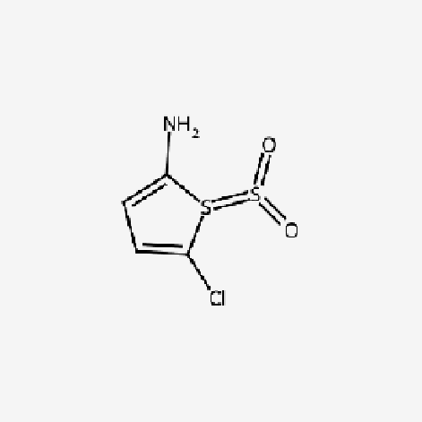 NC1=CC=C(Cl)S1=S(=O)=O